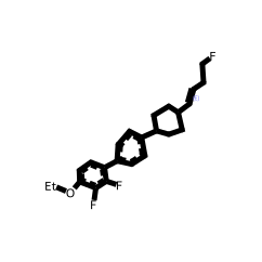 CCOc1ccc(-c2ccc(C3CCC(/C=C/CCF)CC3)cc2)c(F)c1F